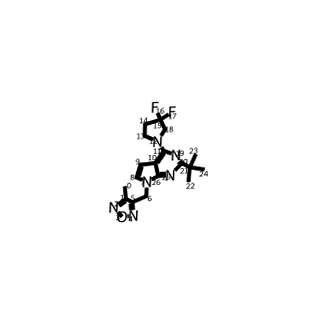 Cc1nonc1Cn1ccc2c(N3CCC(F)(F)C3)nc(C(C)(C)C)nc21